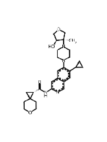 C[C@@]1(N2CCN(c3cc4cc(NC(=O)[C@H]5CC56CCOCC6)ncc4cc3C3CC3)CC2)COC[C@@H]1O